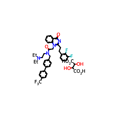 CCN(CC)CCN(Cc1ccc(-c2ccc(C(F)(F)F)cc2)cc1)C(=O)Cn1c(CCc2cccc(F)c2F)nc(=O)c2ccccc21.O=C(O)C(O)C(O)C(=O)O